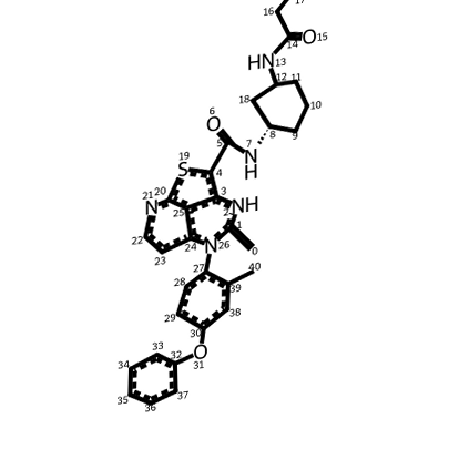 C=c1[nH]c2c(C(=O)N[C@H]3CCCC(NC(=O)CNC)C3)sc3nccc(c32)n1-c1ccc(Oc2ccccc2)cc1C